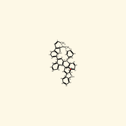 C/C=C\c1c(CC)oc2c1CCC=C2c1cc(N(c2ccccc2)c2ccccc2)c(-c2ccc3sc4ccccc4c3c2)c2ccccc12